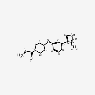 C=CC(=O)N1CCC(Oc2cccc(-c3csnc3C)c2)CC1